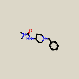 CN(C)C(=O)NC1CCN(Cc2ccccc2)CC1